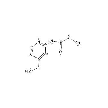 CCc1ccnc(NC(=O)OC)c1